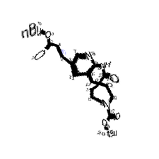 CCCCOC(=O)/C=C/c1cnc2c(c1)CC1(CCN(C(=O)OC(C)(C)C)CC1)C(=O)N2